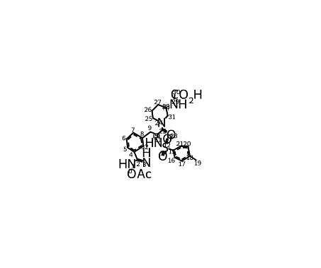 CC(=O)ONC(=N)c1cccc(C[C@H](NS(=O)(=O)c2ccc(C)cc2)C(=O)N2CCC[C@H](NC(=O)O)C2)c1